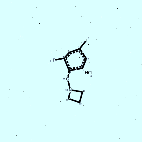 Cl.Fc1cc(I)ccc1ON1CCC1